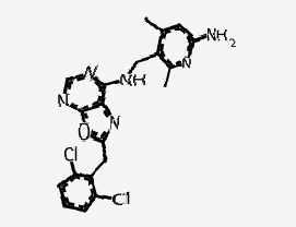 Cc1cc(N)nc(C)c1CNc1ncnc2oc(Cc3c(Cl)cccc3Cl)nc12